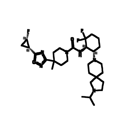 CC(C)N1CCC2(CCN([C@H]3CCCC(F)(F)[C@@H]3NC(=O)N3CCC(C)(c4noc([C@@H]5C[C@@H]5F)n4)CC3)CC2)C1